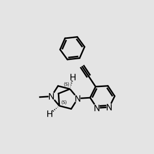 C#Cc1ccnnc1N1C[C@@H]2C[C@H]1CN2C.c1ccccc1